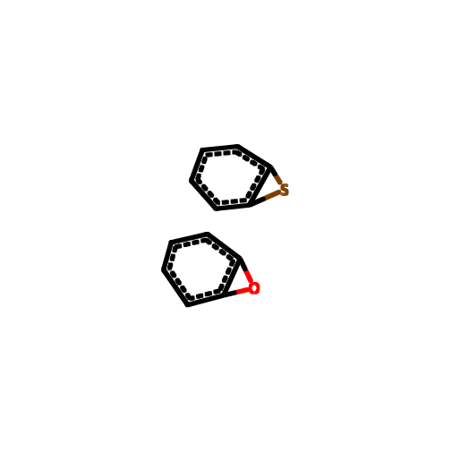 c1ccc2c(c1)O2.c1ccc2c(c1)S2